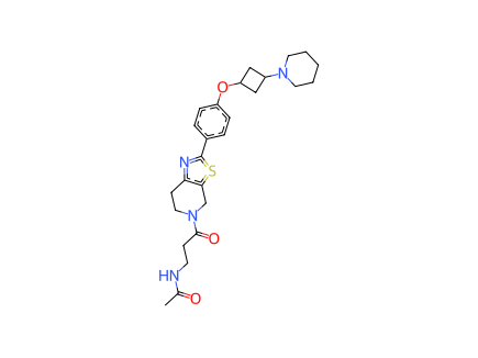 CC(=O)NCCC(=O)N1CCc2nc(-c3ccc(OC4CC(N5CCCCC5)C4)cc3)sc2C1